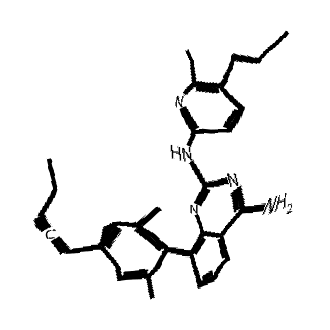 CCC=C=Cc1cc(C)c(-c2cccc3c(N)nc(Nc4ccc(CCC)c(C)n4)nc23)c(C)c1